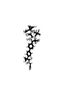 CC(C)(F)C[C@H](N[C@@H](c1ccc(-c2ccc(C3(C(=O)NCC#N)CC3)cc2)cc1)C(F)(F)F)C(=O)NC1(C#N)CC1